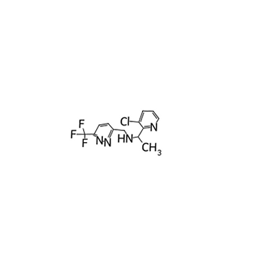 CC(NCc1ccc(C(F)(F)F)nn1)c1ncccc1Cl